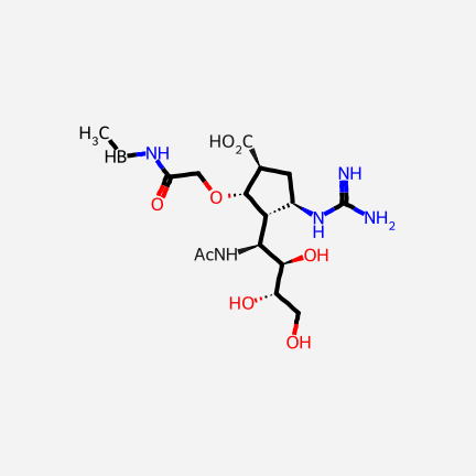 CBNC(=O)CO[C@H]1[C@@H]([C@H](NC(C)=O)[C@@H](O)[C@@H](O)CO)[C@H](NC(=N)N)C[C@@H]1C(=O)O